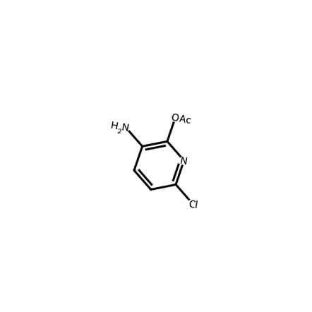 CC(=O)Oc1nc(Cl)ccc1N